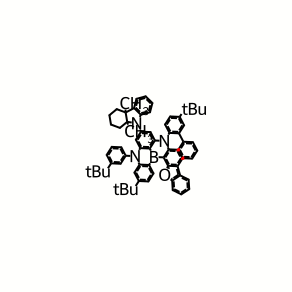 CC(C)(C)c1cccc(N2c3cc(C(C)(C)C)ccc3B3c4c2cc(N2c5ccccc5C5(C)CCCCC25C)cc4N(c2ccc(C(C)(C)C)cc2-c2ccccc2)c2ccc4c(oc5ccccc54)c23)c1